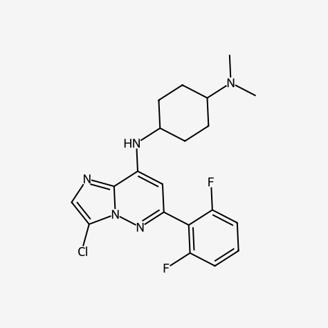 CN(C)C1CCC(Nc2cc(-c3c(F)cccc3F)nn3c(Cl)cnc23)CC1